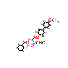 O=CN(O)C(COCc1ccccc1)COc1ccc(-c2ccc(OC(F)(F)F)cc2)cc1